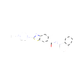 CCN1CCN(c2nc3cc(C)c(C(=O)NC4CCOc5ccccc54)cc3s2)CC1